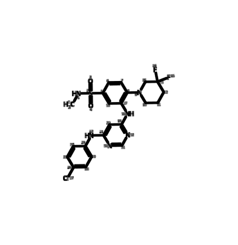 CNS(=O)(=O)c1ccc(N2CCCC(F)(F)C2)c(Nc2cc(Nc3ccc(Cl)cc3)ncn2)c1